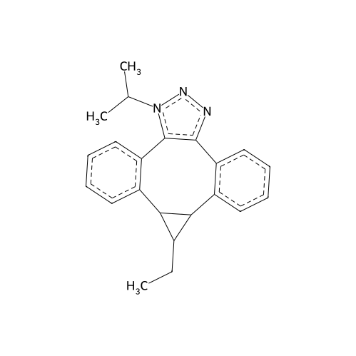 CCC1C2c3ccccc3-c3nnn(C(C)C)c3-c3ccccc3C12